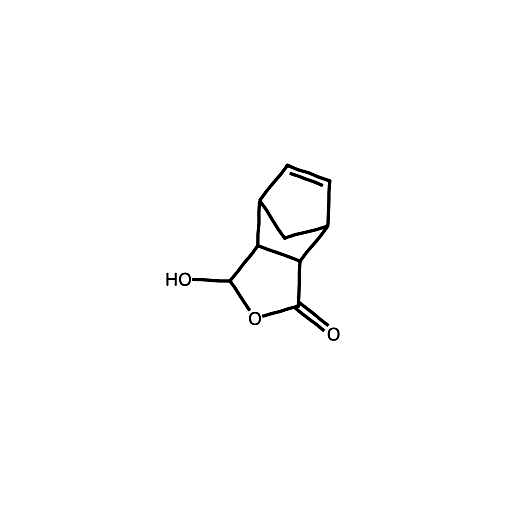 O=C1OC(O)C2C3C=CC(C3)C12